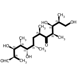 C[C@H]([C@@H](O)[C@@H](C)C[C@@H](C)C(=O)[C@H](C)[C@@H](O)[C@@H](C)CO)[C@H](O)[C@@H](C)C=O